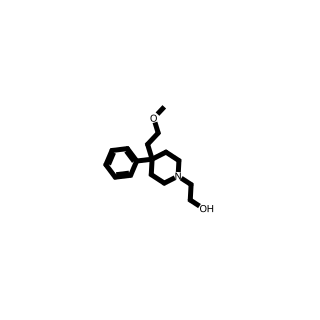 COCCC1(c2ccccc2)CCN(CCO)CC1